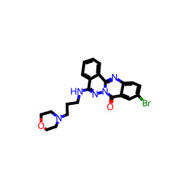 O=c1c2cc(Br)ccc2nc2c3ccccc3c(NCCCN3CCOCC3)nn12